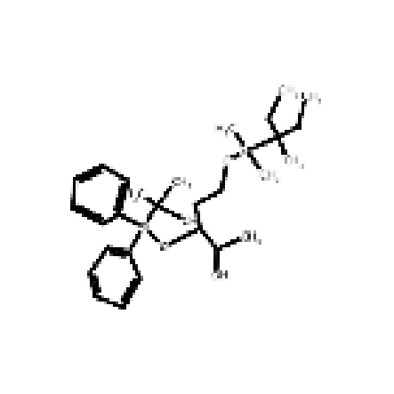 CCC(C)(CC)[Si](C)(C)OCCC(O[Si](c1ccccc1)(c1ccccc1)C(C)(C)C)C(C)O